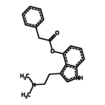 CN(C)CCc1c[nH]c2cccc(OC(=O)Cc3ccccc3)c12